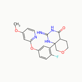 COc1ccnc(Oc2ccc(F)c(C34COCCC3C(=O)NC(=N)N4)c2)c1